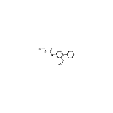 CCCOc1cc(=NC(=S)NCC(C)C)cnn1-c1ccccc1